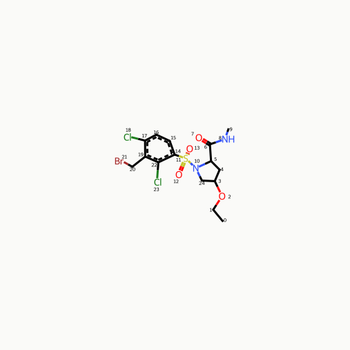 CCOC1CC(C(=O)NC)N(S(=O)(=O)c2ccc(Cl)c(CBr)c2Cl)C1